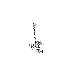 CCCCCCCCCCCCCCN1C(C)(C)CC(OC(=O)O)CC1(C)C